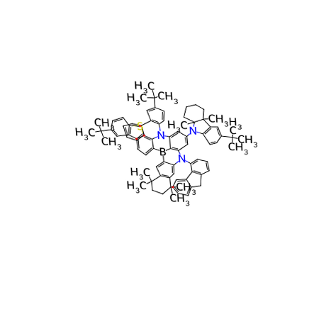 CC(C)(C)c1ccc(N2c3cc(N4c5ccc(C(C)(C)C)cc5C5(C)CCCCC45C)cc4c3B(c3cc5c(cc3N4c3cccc4c3-c3ccccc3C4)C(C)(C)CCC5(C)C)c3ccc4c(sc5ccc(C(C)(C)C)cc54)c32)c(-c2ccccc2)c1